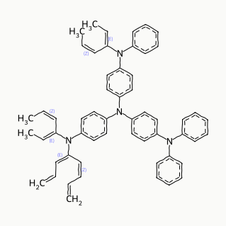 C=C/C=C\C(=C/C=C)N(C(/C=C\C)=C/C)c1ccc(N(c2ccc(N(C(/C=C\C)=C/C)c3ccccc3)cc2)c2ccc(N(c3ccccc3)c3ccccc3)cc2)cc1